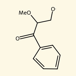 COC(C[O])C(=O)c1ccccc1